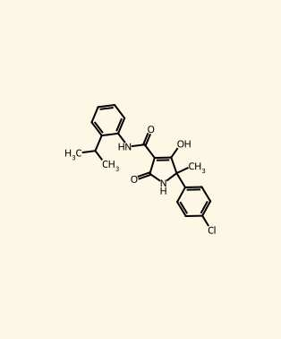 CC(C)c1ccccc1NC(=O)C1=C(O)C(C)(c2ccc(Cl)cc2)NC1=O